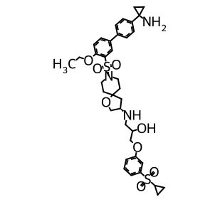 CCOc1ccc(-c2ccc(C3(N)CC3)cc2)cc1S(=O)(=O)N1CCC2(CC1)C[C@@H](NCC(O)COc1cccc(S(=O)(=O)C3CC3)c1)CO2